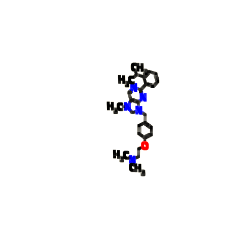 CC(C)c1ccccc1-c1ncc2c(n1)N(Cc1ccc(OCCN(C)C)cc1)CN2C